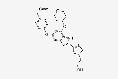 COCc1ccc(Oc2cc(OC3CCOCC3)c3[nH]c(C4=NCC(CCO)S4)cc3c2)cn1